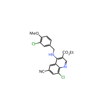 CCOC(=O)c1cnc2c(Cl)cc(C#N)cc2c1NCc1ccc(OC)c(Cl)c1